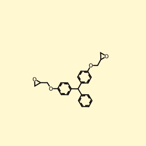 c1ccc(C(c2ccc(OCC3CO3)cc2)c2ccc(OCC3CO3)cc2)cc1